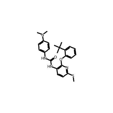 CSc1ccc(NC(=O)Nc2ccc(N(C)C)cc2)c(Oc2ccccc2C(C)(C)C)n1